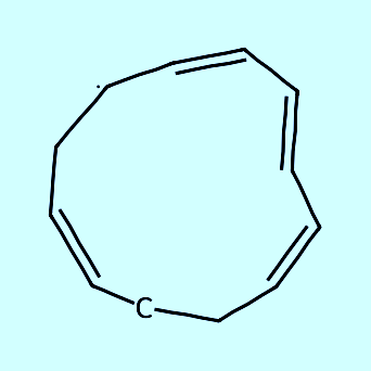 [CH]1\C=C/C=C/C=C\CC/C=C\C1